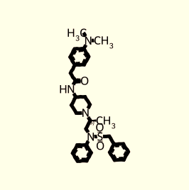 C[C@@H](CN(c1ccccc1)S(=O)(=O)Cc1ccccc1)N1CCC(NC(=O)Cc2ccc(N(C)C)cc2)CC1